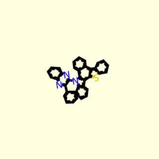 c1ccc(-c2nc3ccccc3nc2-n2c3ccccc3c3c4sc5ccccc5c4c4ccccc4c32)cc1